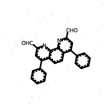 O=Cc1cc(-c2ccccc2)c2ccc3c(-c4ccccc4)cc(C=O)nc3c2n1